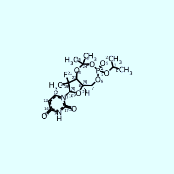 CC(C)OP1(=O)OC[C@H]2O[C@@H](n3ccc(=O)[nH]c3=O)C(C)(F)C2OC(C)(C)O1